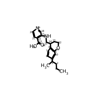 CCCC(C)c1ccc2c(c1)OCCC2CNc1cnccc1C(=O)O